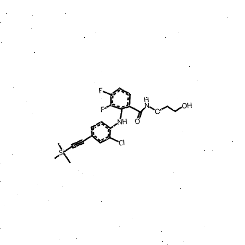 C[Si](C)(C)C#Cc1ccc(Nc2c(C(=O)NOCCO)ccc(F)c2F)c(Cl)c1